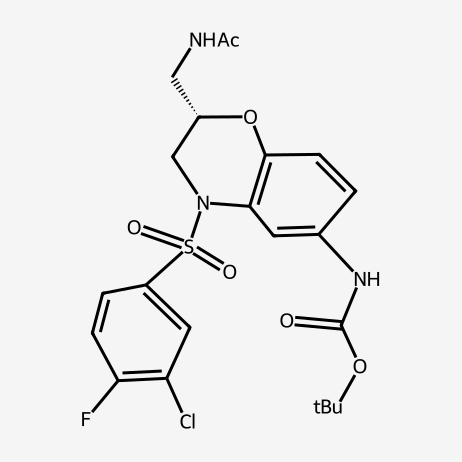 CC(=O)NC[C@H]1CN(S(=O)(=O)c2ccc(F)c(Cl)c2)c2cc(NC(=O)OC(C)(C)C)ccc2O1